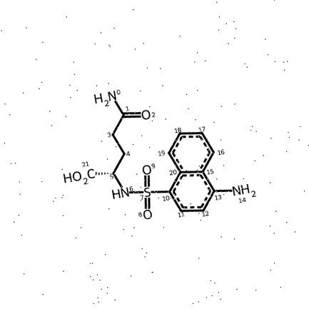 NC(=O)CC[C@H](NS(=O)(=O)c1ccc(N)c2ccccc12)C(=O)O